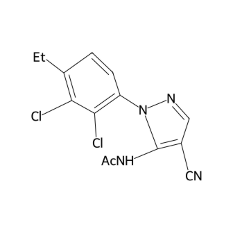 CCc1ccc(-n2ncc(C#N)c2NC(C)=O)c(Cl)c1Cl